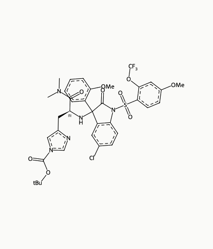 COc1ccc(S(=O)(=O)N2C(=O)C(N[C@@H](Cc3cn(C(=O)OC(C)(C)C)cn3)C(=O)N(C)C)(c3ccccc3OC)c3cc(Cl)ccc32)c(OC(F)(F)F)c1